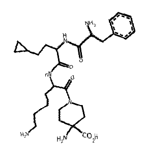 NCCCCC(NC(=O)C(CCC1CC1)NC(=O)C(N)Cc1ccccc1)C(=O)N1CCC(N)(C(=O)O)CC1